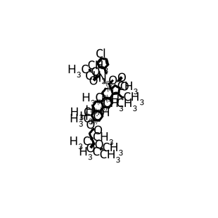 CC(=O)O[C@@H](CN(Cc1ccc(Cl)cc1)C(=O)OC(C)(C)C)[C@@]12CC[C@]3(C)[C@H](CC[C@@H]4[C@@]5(C)CC[C@H](OC(=O)CC(C)(C)C(=O)OC(C)(C)C)C(C)(C)[C@@H]5CC[C@]43C)C1=C(C(C)C)C(=O)C2